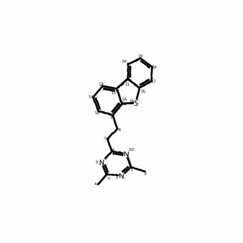 Cc1nc(C)nc(CCc2cccc3c2sc2ccccc23)n1